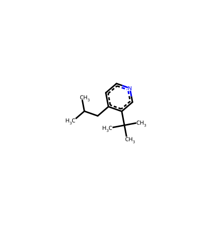 CC(C)Cc1ccncc1C(C)(C)C